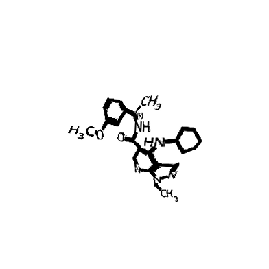 CCn1ncc2c(NC3CCCCC3)c(C(=O)N[C@H](C)c3cccc(OC)c3)cnc21